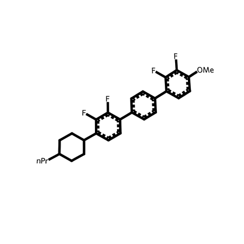 CCCC1CCC(c2ccc(-c3ccc(-c4ccc(OC)c(F)c4F)cc3)c(F)c2F)CC1